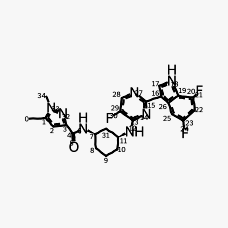 Cc1cc(C(=O)N[C@@H]2CCC[C@H](Nc3nc(-c4c[nH]c5c(F)cc(F)cc45)ncc3F)C2)nn1C